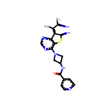 CC(=N)/C(C)=C1\C(=N)Sc2c1ncnc2N1CC(NC(=O)c2ccncc2)C1